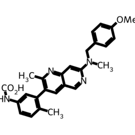 COc1ccc(CN(C)c2cc3nc(C)c(-c4cc(NC(=O)O)ccc4C)cc3cn2)cc1